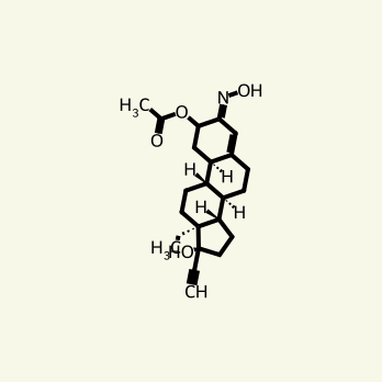 C#C[C@@]1(O)CC[C@H]2[C@@H]3CCC4=CC(=NO)C(OC(C)=O)C[C@@H]4[C@H]3CC[C@@]21CC